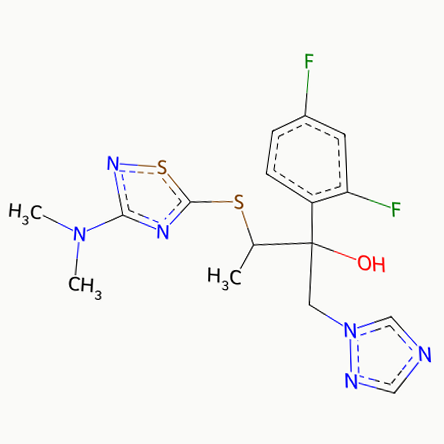 CC(Sc1nc(N(C)C)ns1)C(O)(Cn1cncn1)c1ccc(F)cc1F